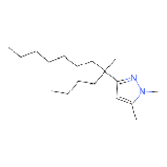 CCCCCCCC(C)(CCCC)c1cc(C)n(C)n1